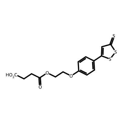 O=C(O)CCC(=O)OCCOc1ccc(-c2cc(=S)ss2)cc1